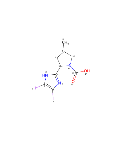 CC1CC(c2nc(I)c(I)[nH]2)N(C(=O)O)C1